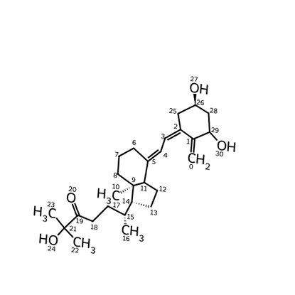 C=C1/C(=C\C=C2/CCC[C@@]3(C)C2CC[C@@H]3[C@H](C)CCC(=O)C(C)(C)O)C[C@@H](O)CC1O